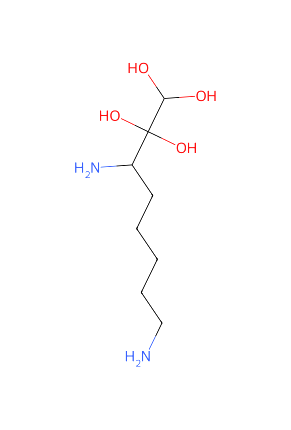 NCCCCCC(N)C(O)(O)C(O)O